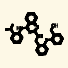 CC(C)c1ccccc1Nc1nc(NCc2ccccc2Sc2ccccc2CO)nc2ccccc12